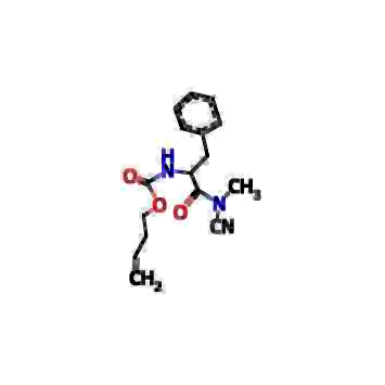 C=CCCOC(=O)NC(Cc1ccccc1)C(=O)N(C)C#N